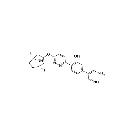 N=C/C(=C\N)c1ccc(-c2ccc(OC3C[C@H]4CC[C@@H](C3)N4)nn2)c(O)c1